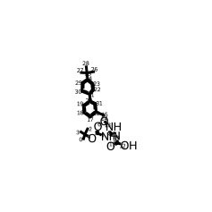 CC(C)(C)OC(=O)N/C(=N\C(=O)O)NOCc1cccc(-c2ccc(C(C)(C)C)cc2)c1